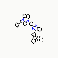 CC1(C)c2ccccc2-c2ccc(-c3nc(-c4ccc5c(c4)c4ccc6c(-c7ccccc7)cn(-c7ccccc7)c6c4n5-c4ccccc4)nc4ccccc34)cc21